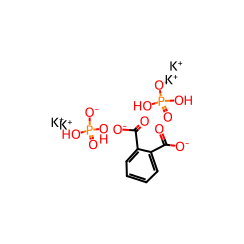 O=C([O-])c1ccccc1C(=O)[O-].O=P([O-])(O)O.O=P([O-])(O)O.[K+].[K+].[K+].[K+]